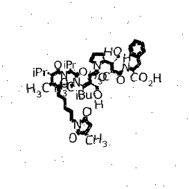 CC[C@H](C)[C@@H]([C@H](CO)CC(=O)N1CCC[C@H]1[C@H](CO)[C@@H](C)C(=O)N[C@@H](Cc1ccccc1)C(=O)O)N(C)C(=O)[C@@H](NC(=O)[C@H](C(C)C)C(C)C(=O)CCCCCN1C(=O)CC(C)C1=O)C(C)C